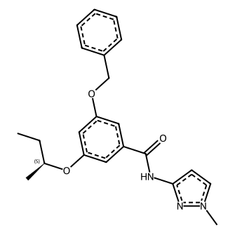 CC[C@H](C)Oc1cc(OCc2ccccc2)cc(C(=O)Nc2ccn(C)n2)c1